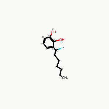 CCCCCCC(F)c1cccc(O)c1O